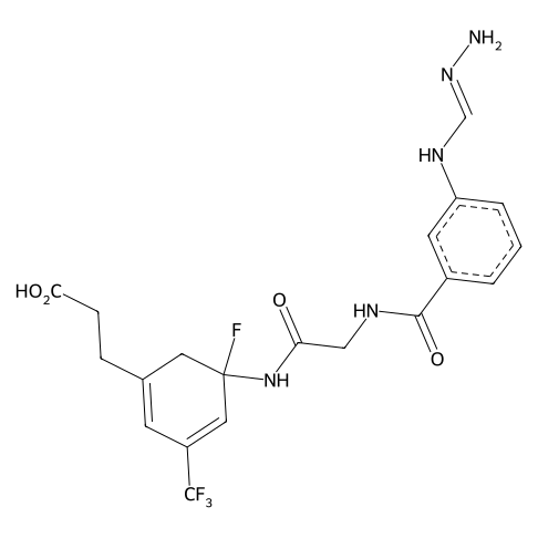 NN=CNc1cccc(C(=O)NCC(=O)NC2(F)C=C(C(F)(F)F)C=C(CCC(=O)O)C2)c1